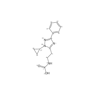 O=C(O)NCCc1nc(-c2ccccc2)nn1C1CC1